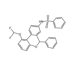 O=S(=O)(Nc1ccc2c(c1)C(c1ccccc1)Oc1cccc(OC(F)F)c1-2)c1ccccc1